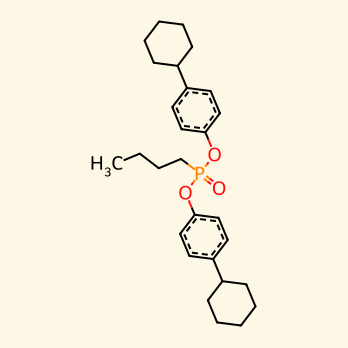 CCCCP(=O)(Oc1ccc(C2CCCCC2)cc1)Oc1ccc(C2CCCCC2)cc1